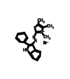 Cc1sc(N=Nc2c(-c3ccccc3)[nH]c3ccccc23)[n+](C)c1C.[Br-]